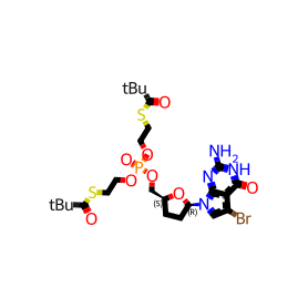 CC(C)(C)C(=O)SCCOP(=O)(OCCSC(=O)C(C)(C)C)OC[C@@H]1CC[C@H](n2cc(Br)c3c(=O)[nH]c(N)nc32)O1